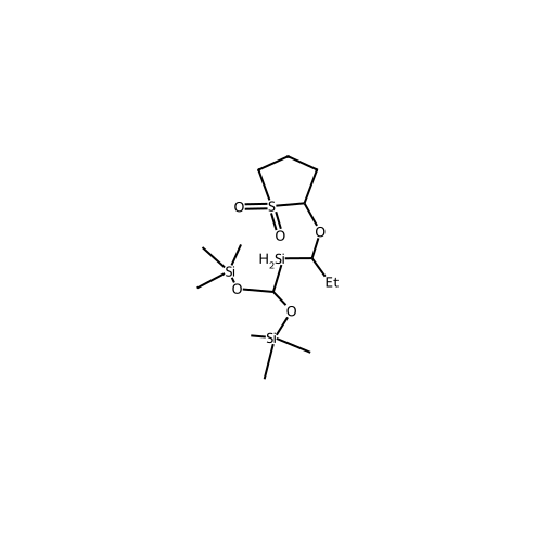 CCC(OC1CCCS1(=O)=O)[SiH2]C(O[Si](C)(C)C)O[Si](C)(C)C